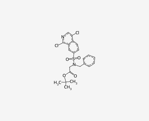 CC(C)(C)OC(=O)CN(Cc1ccccc1)S(=O)(=O)c1ccc2c(Cl)cnc(Cl)c2c1